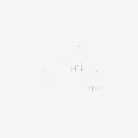 CC(C)(C)OC(=O)N[C@@H]1CCOC1COCc1ccccc1